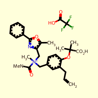 C=CCc1cc(C[N+](C)(Cc2nc(-c3ccccc3)oc2C)C(=O)NC)ccc1OC(C)(C)C(=O)O.O=C(O)C(F)(F)F